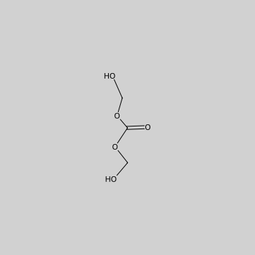 O=C(OCO)OCO